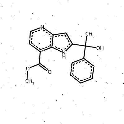 COC(=O)c1ccnc2cc(C(C)(O)c3ccccc3)[nH]c12